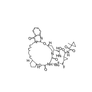 CC(C)(C)[C@@H]1NC(=O)O[C@@H]2CCC[C@H]2CCCCCn2c(nc3ccccc3c2=O)O[C@@H]2C[C@@H](C(O)N[C@]3(C(=O)NS(=O)(=O)C4(C)CC4)C[C@H]3C(F)F)N(C2)C1=O